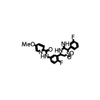 COc1ccc(C(=O)Nc2ccc(F)c(C3CS(=O)(=O)C(c4cccc(F)c4)C(=N)N3)c2)nc1